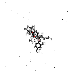 CC(C)(Oc1ccc(C(F)(F)F)cc1Cl)C(=O)N[C@H]1C[C@H]2CC[C@@H](C1)N2c1ccc(C(=O)NCC(F)(F)F)cn1